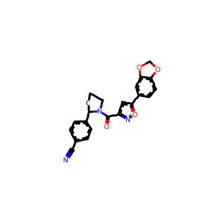 N#Cc1ccc(C2CCCN2C(=O)c2cc(-c3ccc4c(c3)OCO4)on2)cc1